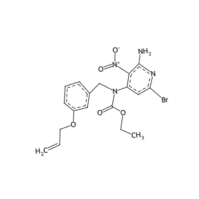 C=CCOc1cccc(CN(C(=O)OCC)c2cc(Br)nc(N)c2[N+](=O)[O-])c1